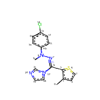 Cc1ccsc1/C(=N/N(C)c1ccc(Cl)cc1)n1ccnc1